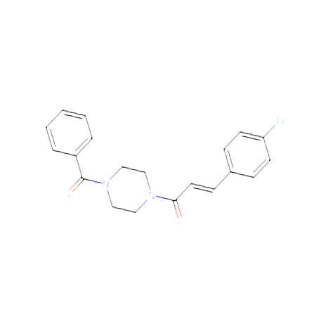 O=C(/C=C/c1ccc(Br)cc1)N1CCN(C(=O)c2ccccc2)CC1